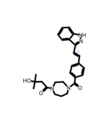 CC(C)(O)CC(=O)N1CCCN(C(=O)c2ccc(/C=C/c3n[nH]c4ccccc34)cc2)CC1